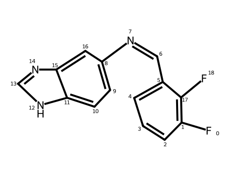 Fc1cccc(/C=N\c2ccc3[nH]cnc3c2)c1F